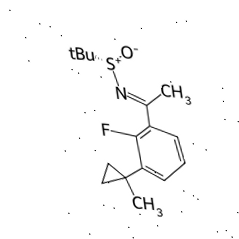 CC(=N[S@@+]([O-])C(C)(C)C)c1cccc(C2(C)CC2)c1F